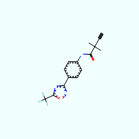 C#CC(C)(C)C(=O)Nc1ccc(-c2noc(C(F)(F)F)n2)cc1